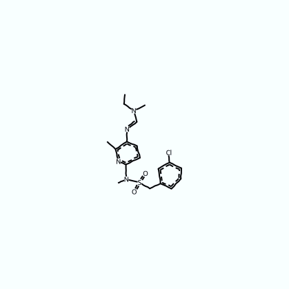 CCN(C)/C=N/c1ccc(N(C)S(=O)(=O)Cc2cccc(Cl)c2)nc1C